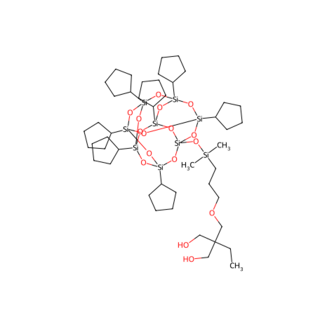 CCC(CO)(CO)COCCC[Si](C)(C)O[Si]12O[Si]3(C4CCCC4)O[Si]4(C5CCCC5)O[Si](C5CCCC5)(O1)O[Si]1(C5CCCC5)O[Si](C5CCCC5)(O2)O[Si](C2CCCC2)(O3)O[Si](C2CCCC2)(O4)O1